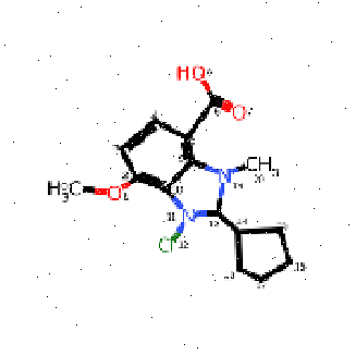 COc1ccc(C(=O)O)c2c1N(Cl)C(C1CCCC1)N2C